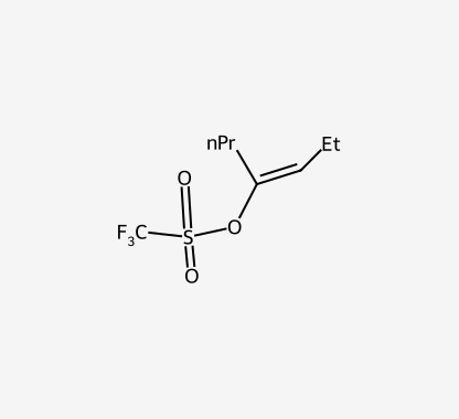 CC/C=C(\CCC)OS(=O)(=O)C(F)(F)F